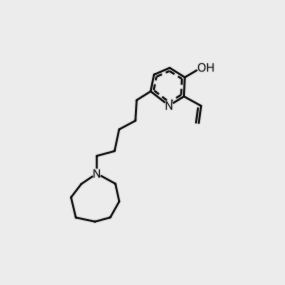 C=Cc1nc(CCCCCN2CCCCCCC2)ccc1O